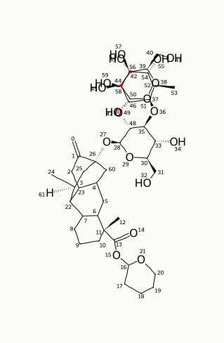 C=C1CC2C3CC4C(CCC[C@@]4(C)C(=O)OC4CCCCO4)C2[C@@H](C)C[C@]1(O[C@@H]1O[C@H](CO)[C@@H](O)[C@H](O[C@@H]2O[C@H](CO)[C@@H](O)[C@H](O)[C@H]2O)[C@H]1O[C@H]1O[C@H](C)[C@@H](O)[C@H](O)[C@@H]1O)C3